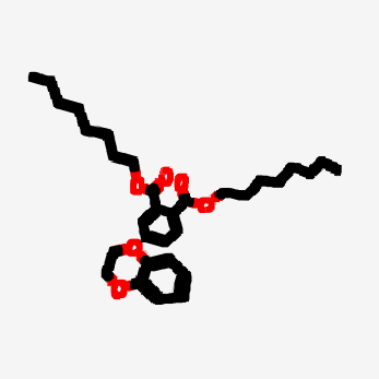 CCCCCCCCOC(=O)c1ccccc1C(=O)OCCCCCCCC.c1ccc2c(c1)OCCO2